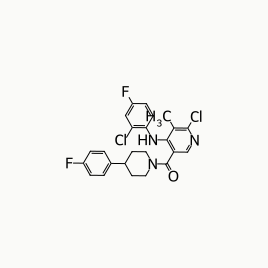 Cc1c(Cl)ncc(C(=O)N2CCC(c3ccc(F)cc3)CC2)c1Nc1ccc(F)cc1Cl